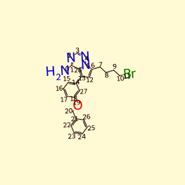 Nc1ncnn2c(CCCCBr)cc(-c3cccc(OCc4ccccc4)c3)c12